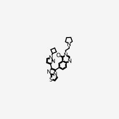 O=c1c2cc(-c3c(-c4ccn(C5CCC5)n4)nc4sccn34)ccc2ncn1CCN1CCCC1